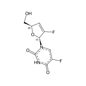 O=c1[nH]c(=O)n([C@H]2O[C@@H](CO)C=C2F)cc1F